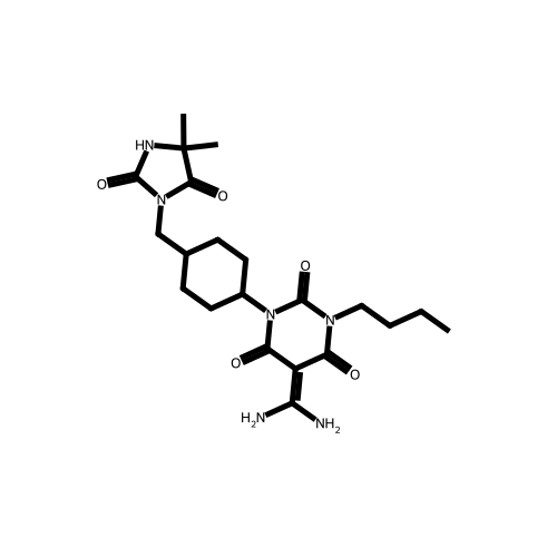 CCCCN1C(=O)C(=C(N)N)C(=O)N(C2CCC(CN3C(=O)NC(C)(C)C3=O)CC2)C1=O